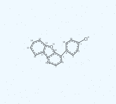 Clc1ccc(-c2ccnc3c2oc2ccccc23)cc1